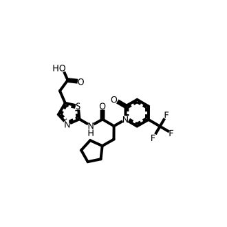 O=C(O)Cc1cnc(NC(=O)C(CC2CCCC2)n2cc(C(F)(F)F)ccc2=O)s1